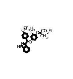 CCOC(=O)C(C)Oc1ccc(OC(c2ccc(OC(F)(F)F)cc2)c2n[nH]c3ccccc23)cc1C